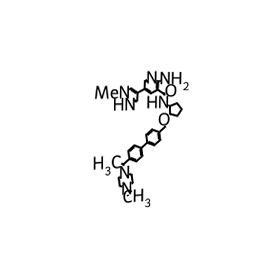 CN/C=C(\C=N)c1cnc(N)c(C(=O)N[C@H]2CCC[C@@H]2OCc2ccc(-c3ccc(C(C)N4CCN(C)CC4)cc3)cc2)c1